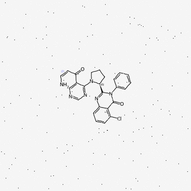 N/C=C\C(=O)c1cncnc1N1CCC[C@H]1c1nc2cccc(Cl)c2c(=O)n1-c1ccccc1